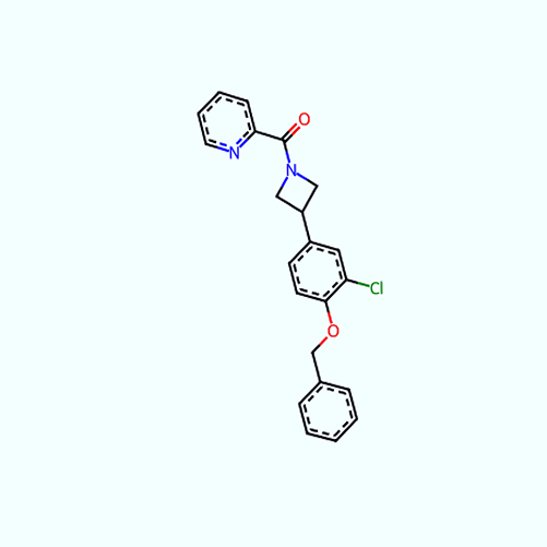 O=C(c1ccccn1)N1CC(c2ccc(OCc3ccccc3)c(Cl)c2)C1